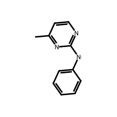 Cc1ccnc([N]c2ccccc2)n1